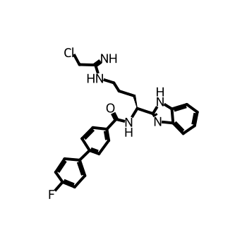 N=C(CCl)NCCC[C@H](NC(=O)c1ccc(-c2ccc(F)cc2)cc1)c1nc2ccccc2[nH]1